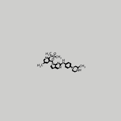 Cc1cnc(N(C)S(C)(=O)=O)c(Cn2ccc3cnc(Nc4ccc(N5CCNC(C)C5)cc4)nc32)c1